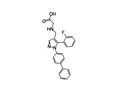 O=C(O)CNCc1cnn(-c2ccc(-c3ccccc3)cc2)c1-c1ccccc1F